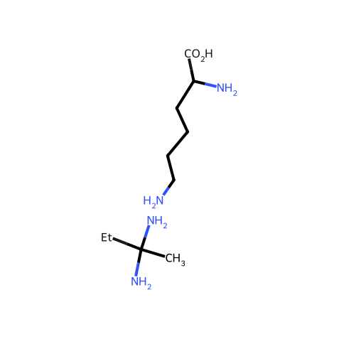 CCC(C)(N)N.NCCCCC(N)C(=O)O